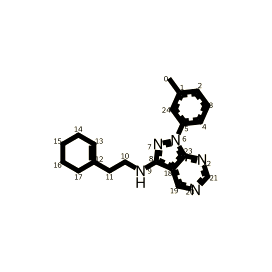 Cc1cccc(-n2nc(NCCC3=CCCCC3)c3cncnc32)c1